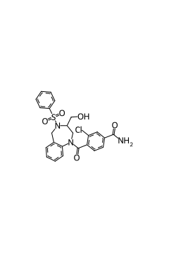 NC(=O)c1ccc(C(=O)N2CC(CO)N(S(=O)(=O)c3ccccc3)Cc3ccccc32)c(Cl)c1